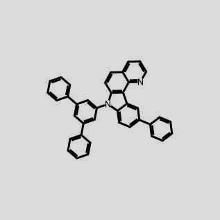 c1ccc(-c2cc(-c3ccccc3)cc(-n3c4ccc(-c5ccccc5)cc4c4c5ncccc5ccc43)c2)cc1